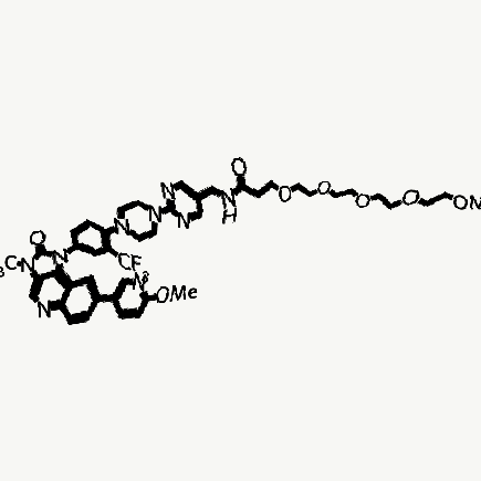 COCCOCCOCCOCCOCCC(=O)NCc1cnc(N2CCN(c3ccc(-n4c(=O)n(C)c5cnc6ccc(-c7ccc(OC)nc7)cc6c54)cc3C(F)(F)F)CC2)nc1